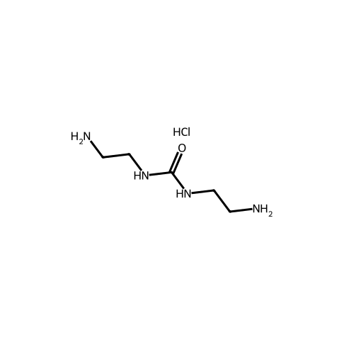 Cl.NCCNC(=O)NCCN